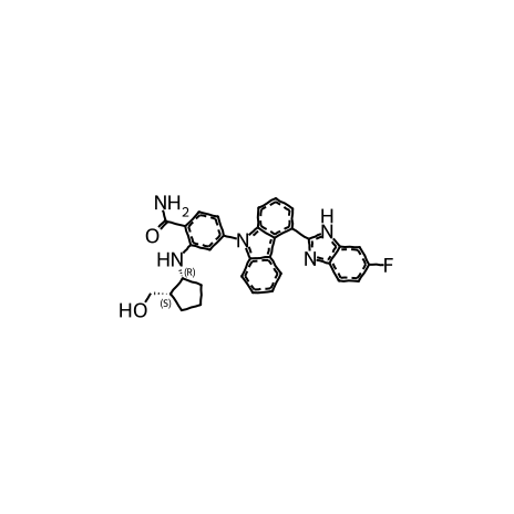 NC(=O)c1ccc(-n2c3ccccc3c3c(-c4nc5ccc(F)cc5[nH]4)cccc32)cc1N[C@@H]1CCC[C@@H]1CO